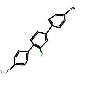 CCCc1ccc(-c2ccc(-c3ccc(C(=O)O)cc3)c(F)c2)cc1